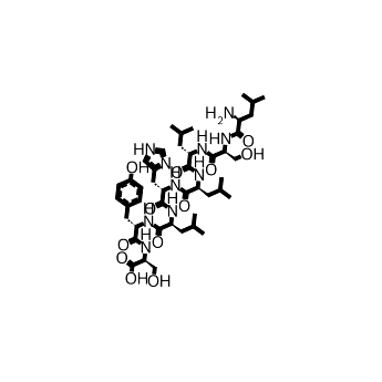 CC(C)C[C@H](NC(=O)[C@H](Cc1c[nH]cn1)NC(=O)[C@H](CC(C)C)NC(=O)[C@H](CC(C)C)NC(=O)[C@H](CO)NC(=O)[C@@H](N)CC(C)C)C(=O)N[C@@H](Cc1ccc(O)cc1)C(=O)N[C@@H](CO)C(=O)O